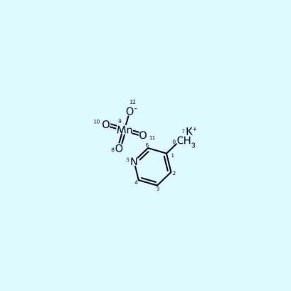 Cc1cccnc1.[K+].[O]=[Mn](=[O])(=[O])[O-]